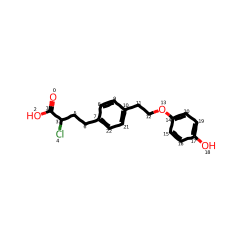 O=C(O)C(Cl)CCc1ccc(CCOc2ccc(O)cc2)cc1